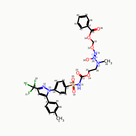 Cc1ccc(-c2cc(C(F)(F)F)nn2-c2ccc(S(=O)(=O)NC(=O)OCCN(C)/[N+]([O-])=N/OCOC(=O)c3ccccc3)cc2)cc1